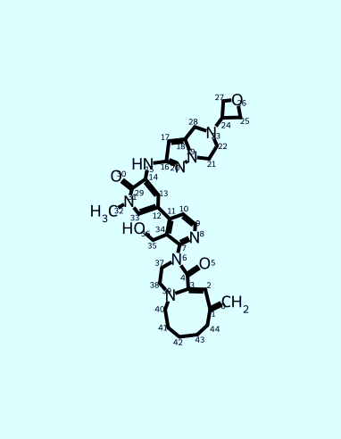 C=C1/C=C2/C(=O)N(c3nccc(-c4cc(Nc5cc6n(n5)CCN(C5COC5)C6)c(=O)n(C)c4)c3CO)CCN2CCCCC1